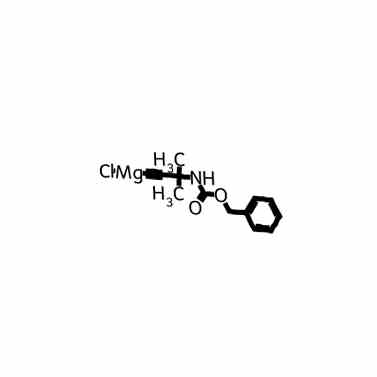 CC(C)(C#[C][Mg][Cl])NC(=O)OCc1ccccc1